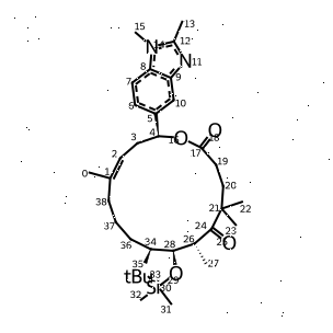 C/C1=C/C[C@@H](c2ccc3c(c2)nc(C)n3C)OC(=O)CCC(C)(C)C(=O)[C@H](C)[C@@H](O[Si](C)(C)C(C)(C)C)[C@@H](C)CCC1